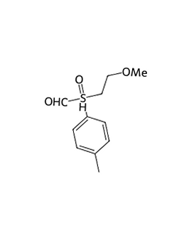 COCC[SH](=O)(C=O)c1ccc(C)cc1